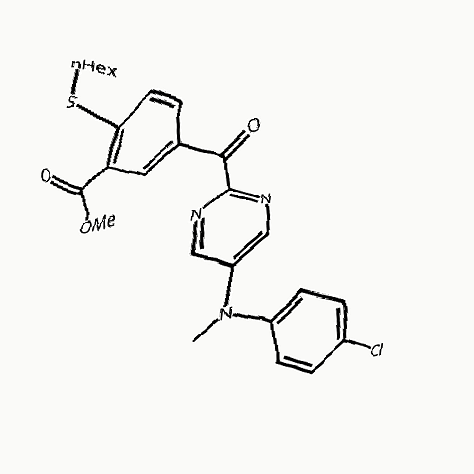 CCCCCCSc1ccc(C(=O)c2ncc(N(C)c3ccc(Cl)cc3)cn2)cc1C(=O)OC